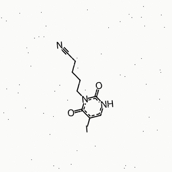 N#CCCCCn1c(=O)[nH]cc(I)c1=O